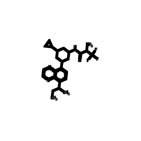 CCC(C)c1ccc(N2CC(NC(=O)C(N)C(F)(F)F)CC(C3CC3)C2)c2nccnc12